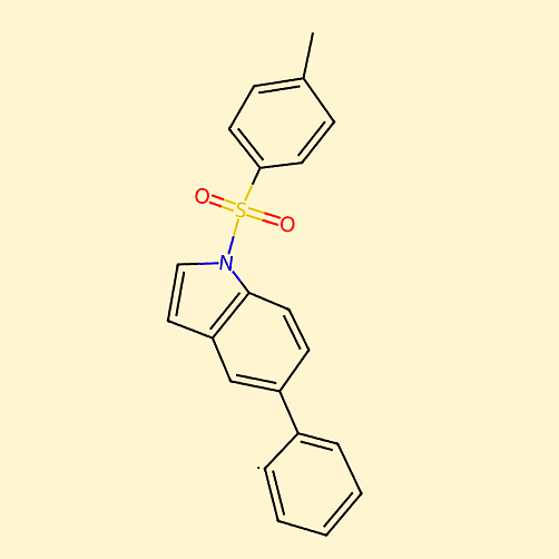 Cc1ccc(S(=O)(=O)n2ccc3cc(-c4[c]cccc4)ccc32)cc1